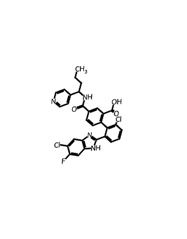 CCCC(NC(=O)c1ccc(-c2c(Cl)cccc2-c2nc3cc(Cl)c(F)cc3[nH]2)c(C(=O)O)c1)c1ccncc1